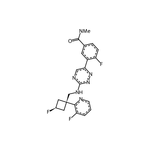 CNC(=O)c1ccc(F)c(-c2cnc(NC[C@]3(c4ncccc4F)C[C@H](F)C3)nn2)c1